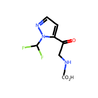 O=C(O)NCC(=O)c1ccnn1C(F)F